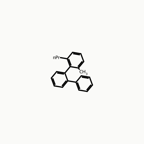 CCCc1cccc(C)c1-c1ccccc1-c1ccccc1